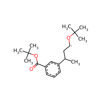 CC(C[C]OC(C)(C)C)c1cccc(C(=O)OC(C)(C)C)c1